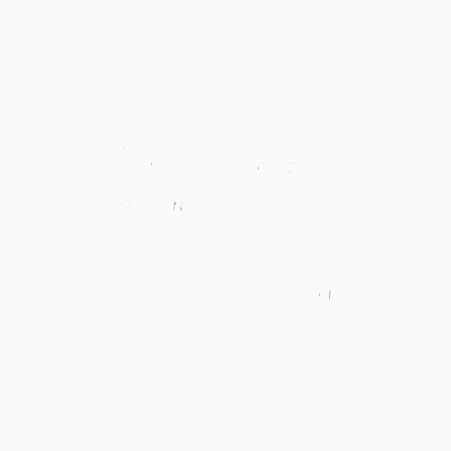 CCOC(=O)/C=C/c1cc(C(F)(F)F)ccc1C1=CCN(C(=O)OC(C)(C)C)CC1